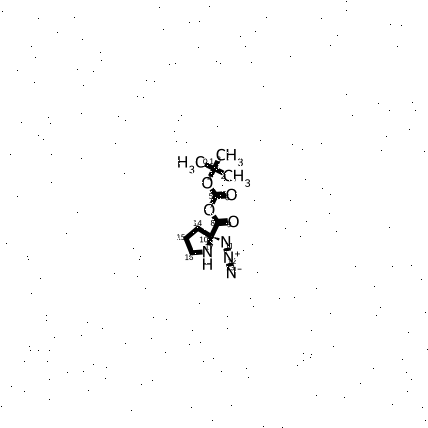 CC(C)(C)OC(=O)OC(=O)[C@]1(N=[N+]=[N-])CCCN1